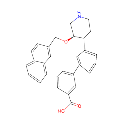 O=C(O)c1cccc(-c2cccc([C@H]3CCNC[C@@H]3OCc3ccc4ccccc4c3)c2)c1